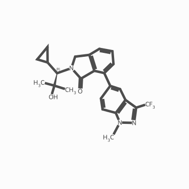 Cn1nc(C(F)(F)F)c2cc(-c3cccc4c3C(=O)N([C@H](C3CC3)C(C)(C)O)C4)ccc21